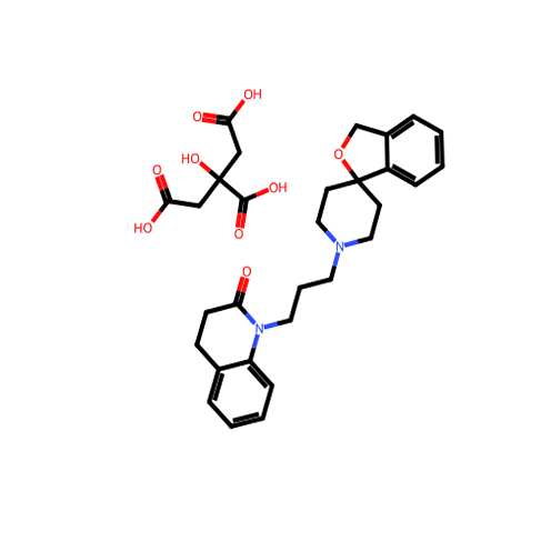 O=C(O)CC(O)(CC(=O)O)C(=O)O.O=C1CCc2ccccc2N1CCCN1CCC2(CC1)OCc1ccccc12